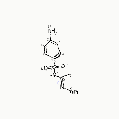 CCC/N=C(\C)NS(=O)(=O)c1ccc(N)cc1